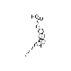 CCCCCCOC[C@H]1[C@@H](Cc2cccc(OCCC(=O)O)c2)[C@H]2CC[C@@H]1O2